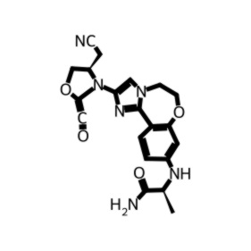 C[C@H](Nc1ccc2c(c1)OCCn1cc(N3C(=C=O)OC[C@H]3CC#N)nc1-2)C(N)=O